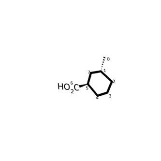 C[C@@H]1CCC[C@@H](C(=O)O)C1